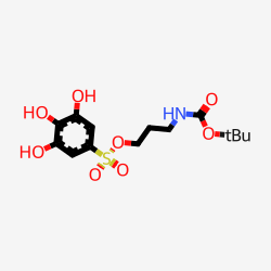 CC(C)(C)OC(=O)NCCCOS(=O)(=O)c1cc(O)c(O)c(O)c1